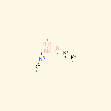 B.B.B.[K+].[K+].[K+].[N-3]